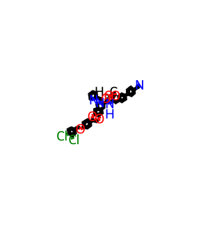 COC(=O)C(Cc1ccc(-c2ccc(C#N)cc2)cc1)NC(=O)C1Cc2cc3c(cc2CN1Cc1ccccn1)OC(c1ccc(OCc2ccc(Cl)c(Cl)c2)cc1)CO3